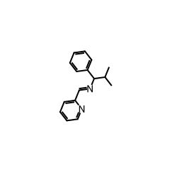 CC(C)C(N=Cc1ccccn1)c1ccccc1